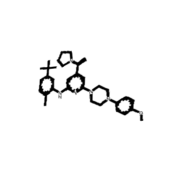 C=C(c1cc(Nc2cc(C(C)(C)C)ccc2C)nc(N2CCN(c3ccc(OC)cc3)CC2)c1)N1CCCC1